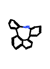 c1ccc2c(c1)Nc1ccccc1-c1cccc3cccc-2c13